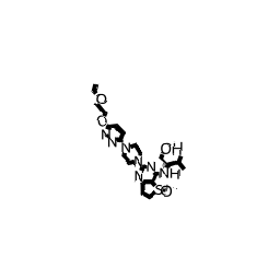 CCOCCOc1ccc(N2CCN(c3nc4c(c(N[C@@H](CO)C(C)C)n3)[S+]([O-])CC4)CC2)nn1